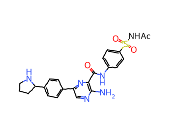 CC(=O)NS(=O)(=O)c1ccc(NC(=O)c2nc(-c3ccc(C4CCCN4)cc3)cnc2N)cc1